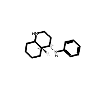 c1ccc(N[C@H]2CCNC3CCCC[C@H]32)cc1